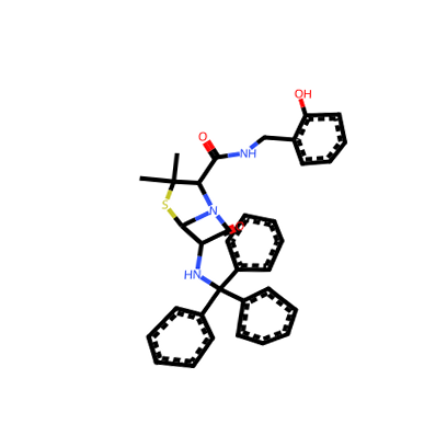 CC1(C)SC2C(NC(c3ccccc3)(c3ccccc3)c3ccccc3)C(=O)N2C1C(=O)NCc1ccccc1O